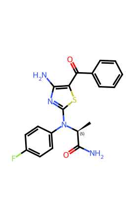 C[C@@H](C(N)=O)N(c1ccc(F)cc1)c1nc(N)c(C(=O)c2ccccc2)s1